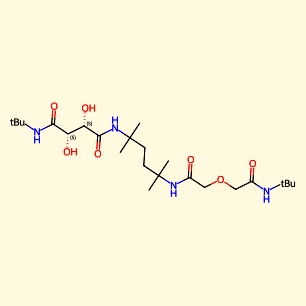 CC(C)(C)NC(=O)COCC(=O)NC(C)(C)CCC(C)(C)NC(=O)[C@@H](O)[C@H](O)C(=O)NC(C)(C)C